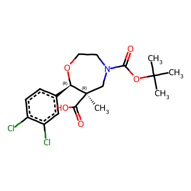 CC(C)(C)OC(=O)N1CCO[C@H](c2ccc(Cl)c(Cl)c2)[C@](C)(C(=O)O)C1